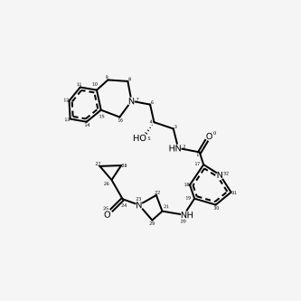 O=C(NC[C@H](O)CN1CCc2ccccc2C1)c1cc(NC2CN(C(=O)C3CC3)C2)ccn1